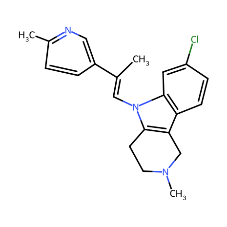 CC(=Cn1c2c(c3ccc(Cl)cc31)CN(C)CC2)c1ccc(C)nc1